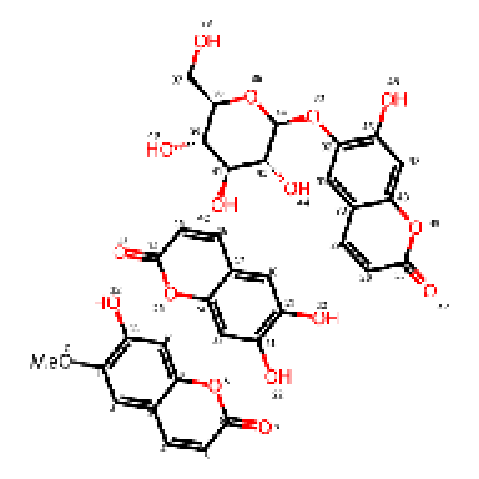 COc1cc2ccc(=O)oc2cc1O.O=c1ccc2cc(O)c(O)cc2o1.O=c1ccc2cc(O[C@@H]3O[C@H](CO)[C@@H](O)[C@H](O)[C@H]3O)c(O)cc2o1